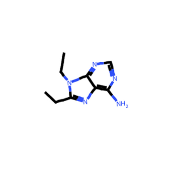 CCc1nc2c(N)ncnc2n1CC